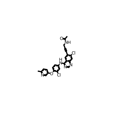 CC(=O)NCC#Cc1cc2c(Nc3ccc(Oc4ccc(C)nc4)c(Cl)c3)ncnc2cc1Cl